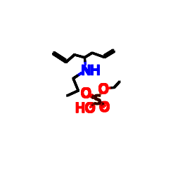 C=CCC(CC=C)NCCC.CCOS(=O)(=O)O